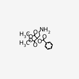 COC(=O)C(CCN)(OC(=O)c1ccccc1)C(=O)OC